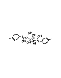 Cc1ccc(C=C(O)[C@@H](O)[C@@H](O)[C@H](O)[C@@H](O)C(O)=Cc2ccc(C)cc2)cc1